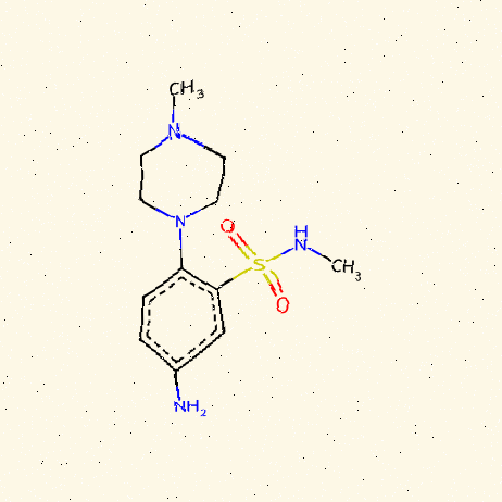 CNS(=O)(=O)c1cc(N)ccc1N1CCN(C)CC1